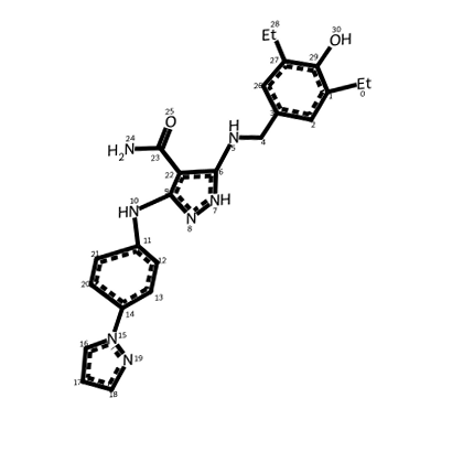 CCc1cc(CNc2[nH]nc(Nc3ccc(-n4cccn4)cc3)c2C(N)=O)cc(CC)c1O